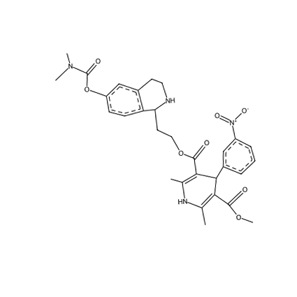 COC(=O)C1=C(C)NC(C)=C(C(=O)OCCC2NCCc3cc(OC(=O)N(C)C)ccc32)C1c1cccc([N+](=O)[O-])c1